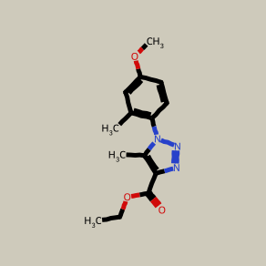 CCOC(=O)c1nnn(-c2ccc(OC)cc2C)c1C